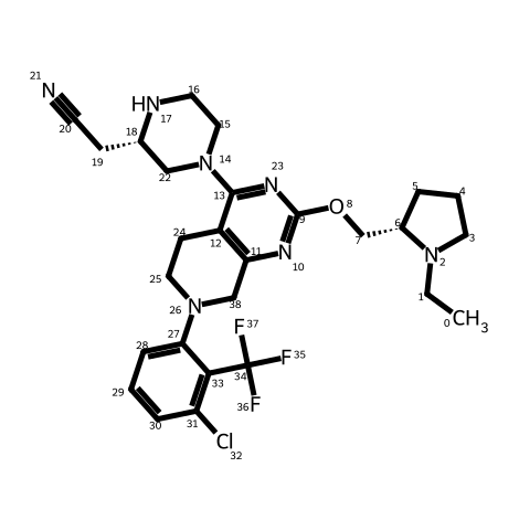 CCN1CCC[C@H]1COc1nc2c(c(N3CCN[C@@H](CC#N)C3)n1)CCN(c1cccc(Cl)c1C(F)(F)F)C2